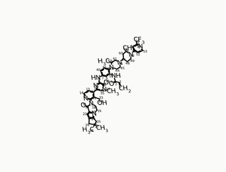 C=CC(=O)Nc1cc(Nc2nc(-c3ccnc(N4CCn5c(cc6c5CC(C)(C)C6)C4=O)c3CO)cn(C)c2=O)ccc1N1CCN(C2CCN(c3ccnc(C(F)(F)F)c3)[C@@H](C)C2)C[C@@H]1C